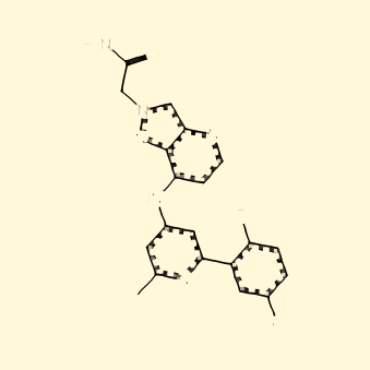 Cc1cc(Nc2ccnc3cn(CC(N)=O)nc23)cc(-c2cc(Cl)ccc2F)n1